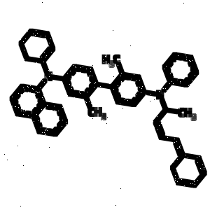 Cc1cc(N(C2=CC=CCC2)c2cccc3ccccc23)ccc1-c1ccc(N(c2ccccc2)C(C)/C=C\C=C2\C=CC=CC2)cc1C